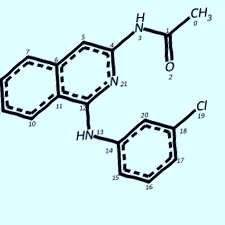 CC(=O)Nc1cc2ccccc2c(Nc2cccc(Cl)c2)n1